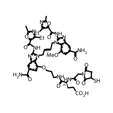 CCc1nc(C)oc1C(=O)Nc1nc2cc(C(N)=O)cc(OC)c2n1C/C=C/Cn1c(NC(=O)c2oc(C)nc2CC)nc2cc(C(N)=O)cc(OCCCNC(=O)[C@H](CCC(=O)O)NC(=O)CN3C(=O)CC(S)C3=O)c21